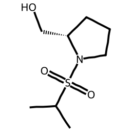 CC(C)S(=O)(=O)N1CCC[C@H]1CO